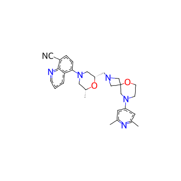 Cc1cc(N2CCOC3(CN(C[C@H]4CN(c5ccc(C#N)c6ncccc56)C[C@@H](C)O4)C3)C2)cc(C)n1